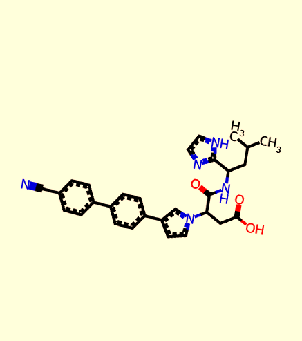 CC(C)CC(NC(=O)C(CC(=O)O)n1ccc(-c2ccc(-c3ccc(C#N)cc3)cc2)c1)c1ncc[nH]1